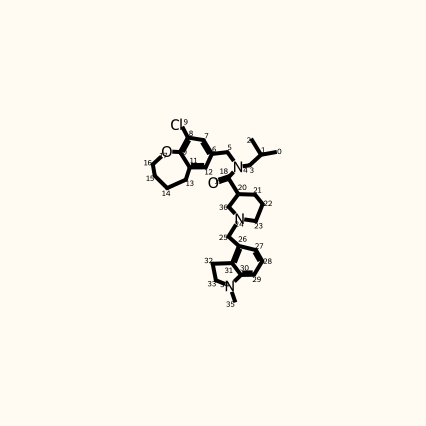 CC(C)CN(Cc1cc(Cl)c2c(c1)CCCCO2)C(=O)C1CCCN(Cc2cccc3c2CCN3C)C1